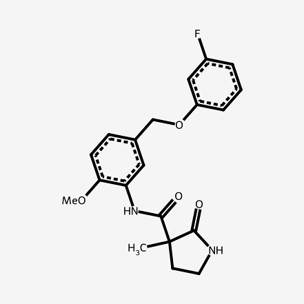 COc1ccc(COc2cccc(F)c2)cc1NC(=O)C1(C)CCNC1=O